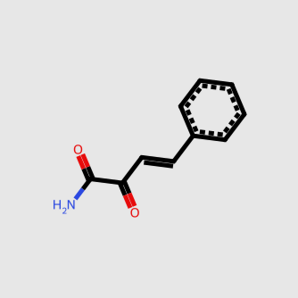 NC(=O)C(=O)/C=C/c1ccccc1